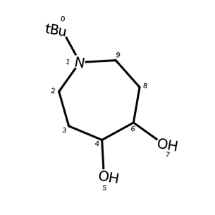 CC(C)(C)N1CCC(O)C(O)CC1